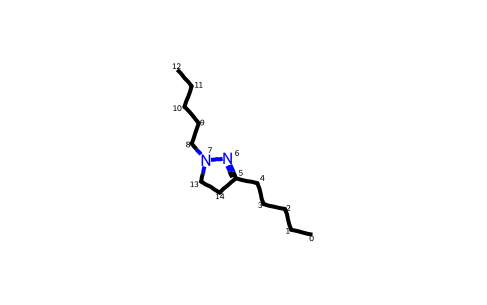 CCCCCC1=NN(CCCCC)CC1